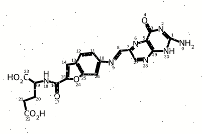 Nc1nc(=O)c2nc(/C=N/c3ccc4cc(C(=O)NC(CCC(=O)O)C(=O)O)oc4c3)cnc2[nH]1